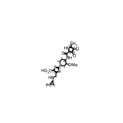 CO[C@H]1CN(c2nc(CN[C@@H]3C[C@@H]3F)c(C(=O)O)s2)CC[C@H]1NC(=O)c1[nH]c(C)c(Cl)c1Cl